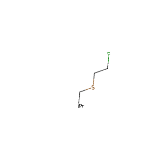 CC(C)CSCCF